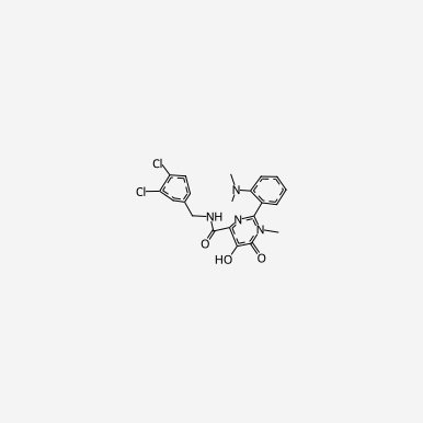 CN(C)c1ccccc1-c1nc(C(=O)NCc2ccc(Cl)c(Cl)c2)c(O)c(=O)n1C